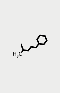 CC(I)CCCC1CCCCC1